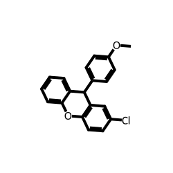 COc1ccc(C2c3ccccc3Oc3ccc(Cl)cc32)cc1